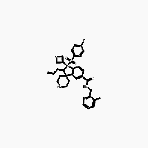 C=CCC1C2(CCNCC2)c2cc(C(=O)NCc3ncccc3C)ccc2[N+]1(C1COC1)S(=O)(=O)c1ccc(F)cc1